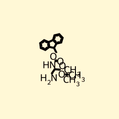 CC(C)(C)OC(=O)C(CN)NC(=O)OCC1c2ccccc2-c2ccccc21